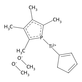 C[O-].C[O-].Cc1c(C)c(C)[p]([Ti+2][C]2=CC=CC2)c1C